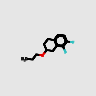 CCCOC1CCc2ccc(F)c(F)c2C1